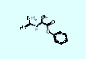 CC(C)(C)C(NC(=N)N)C(=O)Oc1ccccc1